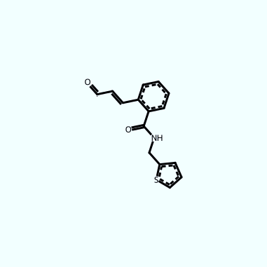 O=[C]/C=C/c1ccccc1C(=O)NCc1cccs1